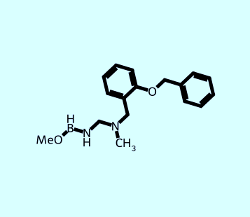 COBNCN(C)Cc1ccccc1OCc1ccccc1